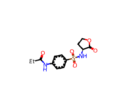 CCC(=O)Nc1ccc(S(=O)(=O)N[C@H]2CCOC2=O)cc1